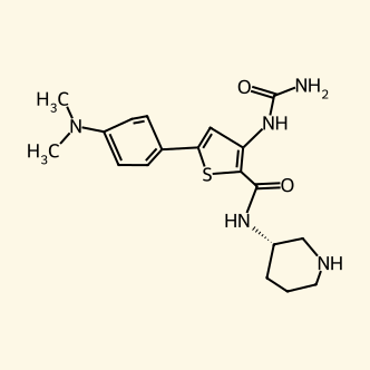 CN(C)c1ccc(-c2cc(NC(N)=O)c(C(=O)N[C@H]3CCCNC3)s2)cc1